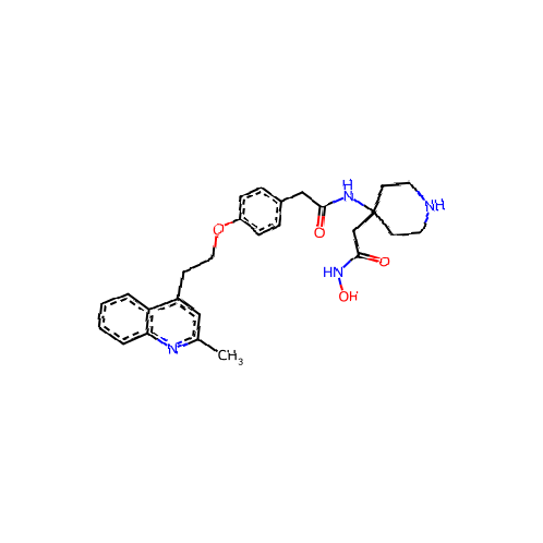 Cc1cc(CCOc2ccc(CC(=O)NC3(CC(=O)NO)CCNCC3)cc2)c2ccccc2n1